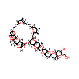 C=C1C[C@@H]2CC[C@@]34C[C@H]5O[C@H]6[C@@H](O3)[C@H]3O[C@H](CC[C@@H]3O[C@@]6(C)C5O4)CC(=O)O[C@@H]3[C@@H](C)[C@@H]4O[C@@H]5C[C@]6(C[C@@H]7O[C@]8(C[C@H](C)[C@@H]9O[C@H](CO)[C@H](O)C[C@@H]9O8)C[C@H](C)[C@@H]7O6)O[C@@H]5C[C@@H]4O[C@H]3C[C@H]3O[C@@H](CC[C@@H]1O2)C[C@@H](C)C3=C